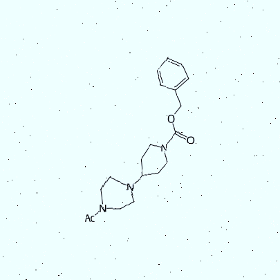 CC(=O)N1CCN(C2CCN(C(=O)OCc3ccccc3)CC2)CC1